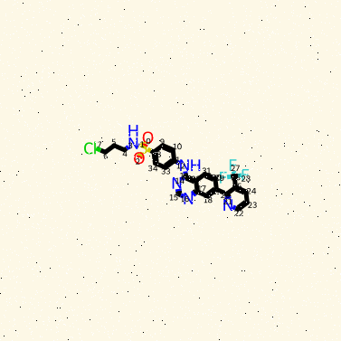 O=S(=O)(NCCCCl)c1ccc(Nc2ncnc3cc(-c4ncccc4C(F)(F)F)ccc23)cc1